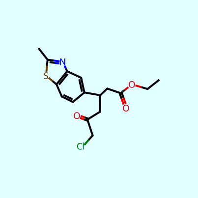 CCOC(=O)CC(CC(=O)CCl)c1ccc2sc(C)nc2c1